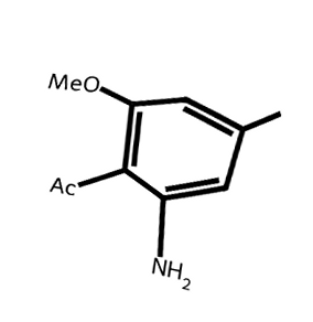 COc1cc(C)cc(N)c1C(C)=O